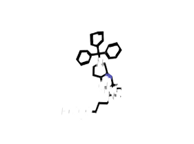 CCOC(=O)CCCn1nnc(/C=C2/CN(C(c3ccccc3)(c3ccccc3)c3ccccc3)CCC2O)n1